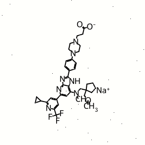 COCC1(CN(C)c2cc(-c3cc(C4CC4)nc(C(F)(F)F)c3)nc3nc(-c4ccc(N5CCN(CCC(=O)[O-])CC5)cc4)[nH]c23)CCCC1.[Na+]